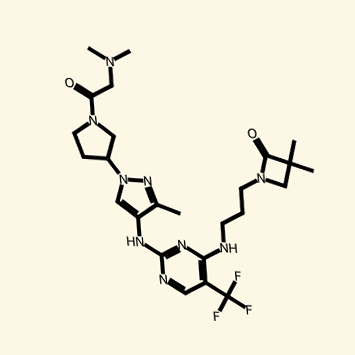 Cc1nn(C2CCN(C(=O)CN(C)C)C2)cc1Nc1ncc(C(F)(F)F)c(NCCCN2CC(C)(C)C2=O)n1